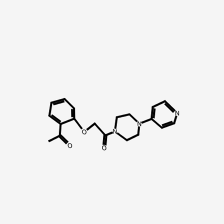 CC(=O)c1ccccc1OCC(=O)N1CCN(c2ccncc2)CC1